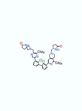 COc1nc(-c2cccc(-c3cccc(-c4cc5c(c(OC)n4)CCN(C[C@H]4CCC(=O)N4)C5)c3Cl)c2Cl)cnc1CN1CC2(CCC(=O)N2)C1